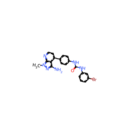 Cn1nc(N)c2c(-c3ccc(NC(=O)Nc4cccc(Br)c4)cc3)ccnc21